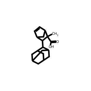 CC1(C(=O)O)C2C=CC(C2)C1C1C2CC3CC(C2)CC1C3